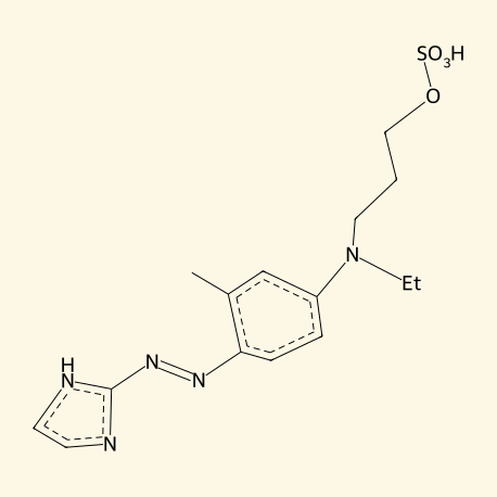 CCN(CCCOS(=O)(=O)O)c1ccc(/N=N/c2ncc[nH]2)c(C)c1